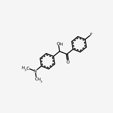 CN(C)c1ccc(C(O)C(=O)c2ccc(F)cc2)cc1